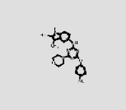 [C-]#[N+]c1ccc(Oc2nc(Nc3ccc4[nH]c(C)c(C)c4c3)nc(N3CCOCC3)n2)cc1